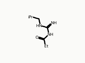 CCC(=O)NC(=N)NCC(C)C